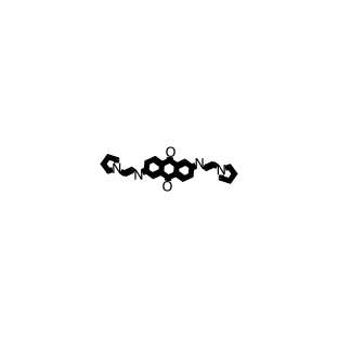 O=C1C2=CCC(=NC=CN3CCCC3)C=C2C(=O)C2=CCC(=NC=CN3CCCC3)C=C12